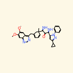 COc1cc2ncnc(CC3=CC=CC(C)(C(=N)C(=O)C(=N)c4cc(C5CC5)nn4-c4ccccc4)C3)c2cc1OC